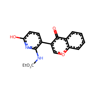 CCOC(=O)Nc1nc(O)ccc1-c1coc2ccccc2c1=O